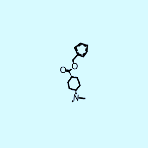 CN(C)[C@H]1CC[C@@H](C(=O)OCc2ccccc2)CC1